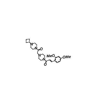 COc1ccc(C=CC(=O)N2CCN(CC(=O)N3CCN(C4CCC4)CC3)CC2)c(OC)c1